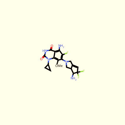 COc1c(N2CC3=CC(F)(F)C(N)C3C2)c(F)c(N)c2c(=O)[nH]c(=O)n(C3CC3)c12